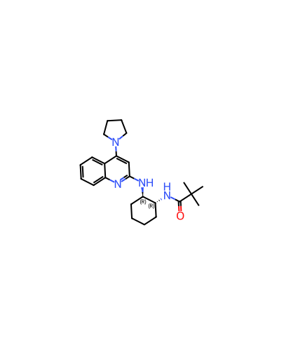 CC(C)(C)C(=O)N[C@@H]1CCCC[C@H]1Nc1cc(N2CCCC2)c2ccccc2n1